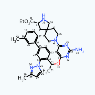 CCOC(=O)[C@@H]1CC2(CCN(c3cc(O[C@H](c4ccc(-c5cccc(C)c5)cc4-n4ccc(C)n4)C(F)(F)F)nc(N)n3)CC2)CN1